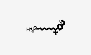 C[SiH](C)OCCCCCCCCC(c1ccc2cccnc2c1)C(C)(C)C